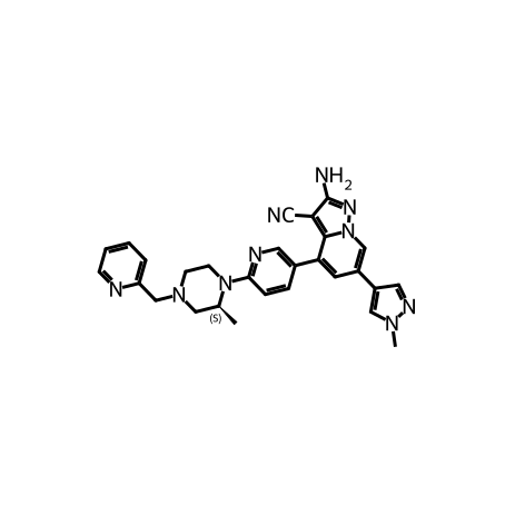 C[C@H]1CN(Cc2ccccn2)CCN1c1ccc(-c2cc(-c3cnn(C)c3)cn3nc(N)c(C#N)c23)cn1